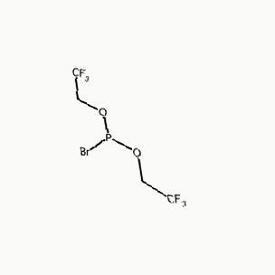 FC(F)(F)COP(Br)OCC(F)(F)F